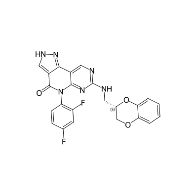 O=c1c2c[nH]nc2c2cnc(NC[C@H]3COc4ccccc4O3)nc2n1-c1ccc(F)cc1F